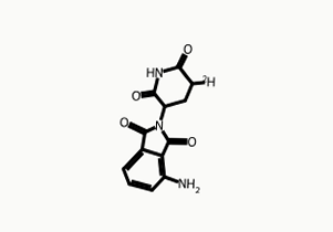 [2H]C1CC(N2C(=O)c3cccc(N)c3C2=O)C(=O)NC1=O